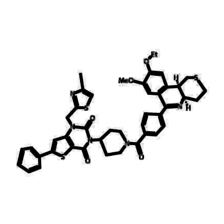 CCOc1cc2c(cc1OC)C(c1ccc(C(=O)N3CCC(n4c(=O)c5sc(-c6ccccc6)cc5n(Cc5nc(C)cs5)c4=O)CC3)cc1)=N[C@@H]1CCSC[C@H]21